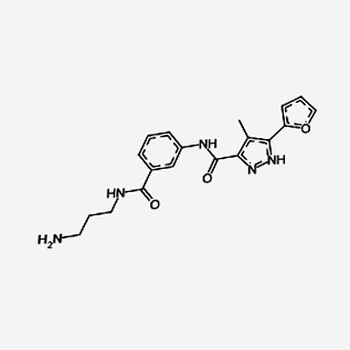 Cc1c(C(=O)Nc2cccc(C(=O)NCCCN)c2)n[nH]c1-c1ccco1